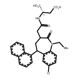 CC(C)(C)CN1C(=O)C(CC(=O)N[C@@H](CC(=O)O)C(=O)O)CC(c2cccc3ccccc23)c2cc(Cl)ccc21